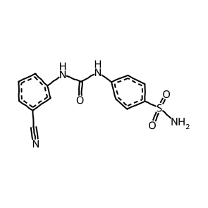 N#Cc1cccc(NC(=O)Nc2ccc(S(N)(=O)=O)cc2)c1